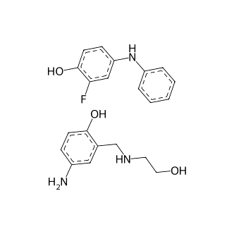 Nc1ccc(O)c(CNCCO)c1.Oc1ccc(Nc2ccccc2)cc1F